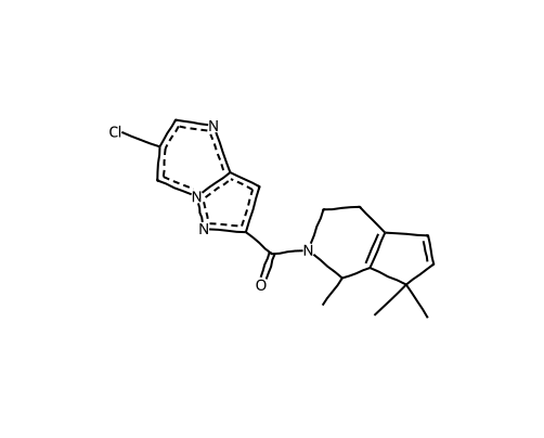 CC1C2=C(C=CC2(C)C)CCN1C(=O)c1cc2ncc(Cl)cn2n1